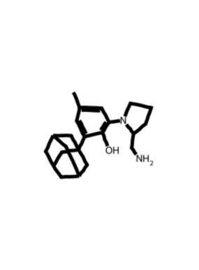 Cc1cc(N2CCCC2CN)c(O)c(C23CC4CC(CC(C4)C2)C3)c1